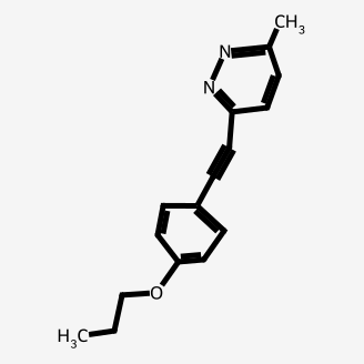 CCCOc1ccc(C#Cc2ccc(C)nn2)cc1